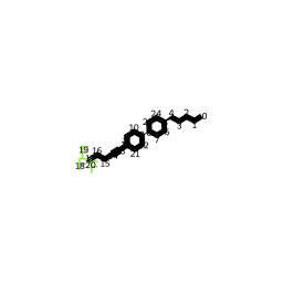 CCCCC[C@H]1CC[C@H](C2CCC(C#CCCC(F)(F)F)CC2)CC1